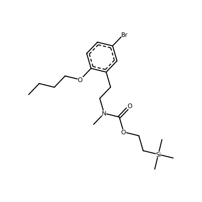 CCCCOc1ccc(Br)cc1CCN(C)C(=O)OCC[Si](C)(C)C